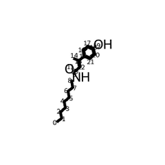 CCCCCCCCCNC(=O)C=C(C)c1ccc(O)cc1